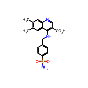 Cc1cc2ncc(C(=O)O)c(NCc3ccc(S(N)(=O)=O)cc3)c2cc1C